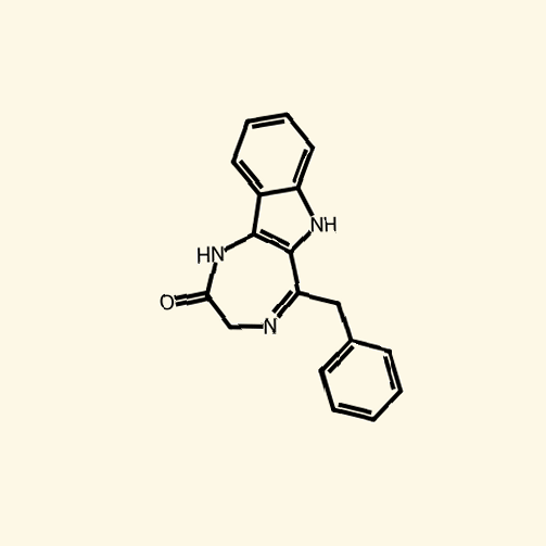 O=C1CN=C(Cc2ccccc2)c2[nH]c3ccccc3c2N1